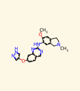 COc1cc2c(cc1Nc1ncc3ccc(Oc4cn[nH]c4)cc3n1)CN(C)CC2